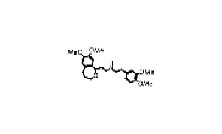 COc1ccc(CCNCCC2OCCCc3cc(OC)c(OC)cc32)cc1OC